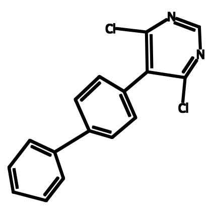 Clc1ncnc(Cl)c1-c1ccc(-c2ccccc2)cc1